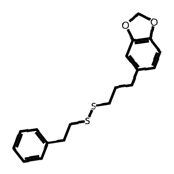 c1ccc(CCSSCCCc2ccc3c(c2)OCO3)cc1